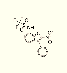 O=[N+]([O-])c1oc2c(NS(=O)(=O)C(F)(F)F)cccc2c1-c1ccccc1